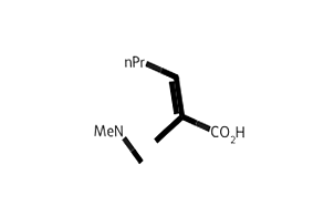 CCCC=C(C)C(=O)O.CNC